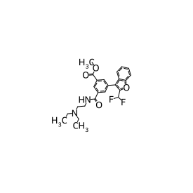 CCN(CC)CCNC(=O)c1cc(C(=O)OC)cc(-c2c(C(F)F)oc3ccccc23)c1